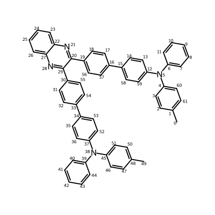 Cc1ccc(N(c2ccccc2)c2ccc(-c3ccc(-c4nc5ccccc5nc4-c4ccc(-c5ccc(N(c6ccccc6)c6ccc(C)cc6)cc5)cc4)cc3)cc2)cc1